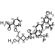 CC[C@]1(CCOc2ncccc2C(N)=O)C[C@H](NC(=O)c2nc(C(F)F)n3cc(-c4cn(C)nc4C(F)(F)F)ccc23)C1